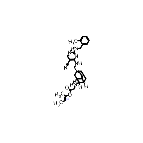 C/C=C(\C)OC(=O)CN[C@@H]1[C@@H]2CC3C[C@H]1C[C@@](CNc1nc(NCc4ccccc4C)ncc1C#N)(C3)C2